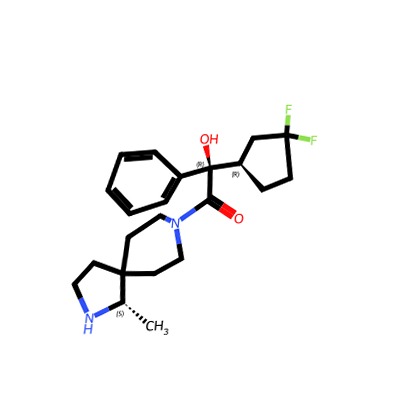 C[C@@H]1NCCC12CCN(C(=O)[C@](O)(c1ccccc1)[C@@H]1CCC(F)(F)C1)CC2